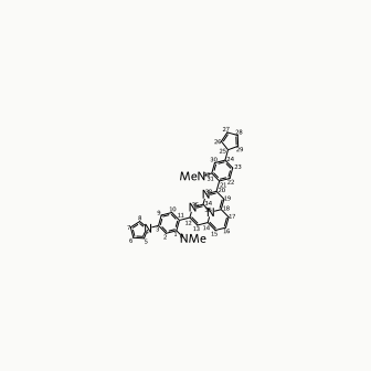 CNc1cc(-n2cccc2)ccc1C1=CC2=CC=CC3=CC(c4ccc(C5C=CC=C5)cc4NC)=NC(=N1)N23